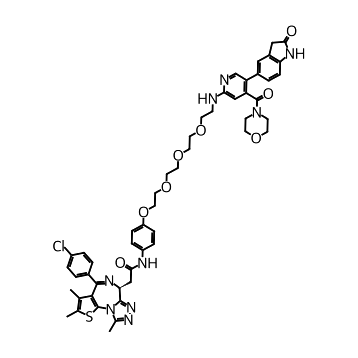 Cc1sc2c(c1C)C(c1ccc(Cl)cc1)=N[C@@H](CC(=O)Nc1ccc(OCCOCCOCCOCCNc3cc(C(=O)N4CCOCC4)c(-c4ccc5c(c4)CC(=O)N5)cn3)cc1)c1nnc(C)n1-2